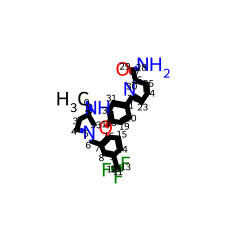 CNC1CCN(Cc2cc(C(F)(F)F)ccc2Oc2ccc(-c3cccc(C(N)=O)n3)cc2)C1